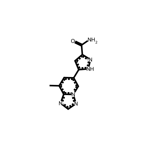 Cc1cc(-c2cc(C(N)=O)n[nH]2)cn2ncnc12